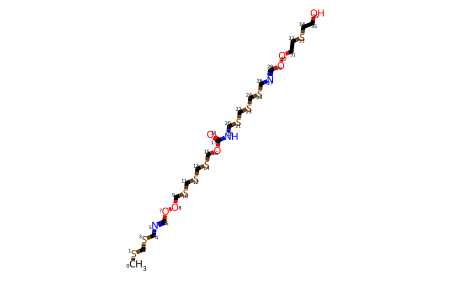 CSCSC/N=C/OOCSCSCSCOC(=O)NCSCSCSC/N=C/OOCCSCCO